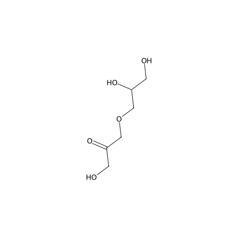 O=C(CO)COCC(O)CO